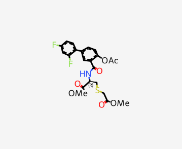 COC(=O)CSC[C@H](NC(=O)c1cc(-c2ccc(F)cc2F)ccc1OC(C)=O)C(=O)OC